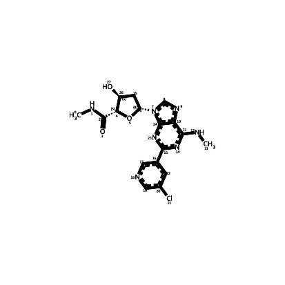 CNC(=O)[C@H]1O[C@@H](n2cnc3c(NC)nc(-c4cncc(Cl)c4)nc32)C[C@@H]1O